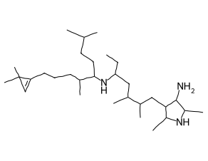 CCC(CC(C)C(C)CC1C(C)NC(C)C1N)NC(CCC(C)C)C(C)CCCC1=CC1(C)C